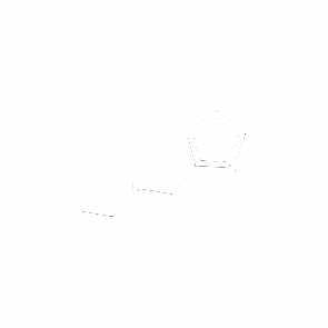 CCNCc1n[c]cs1